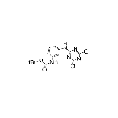 CC(C)(C)OC(=O)Nc1cccc(Nc2nc(Cl)nc(Cl)n2)c1